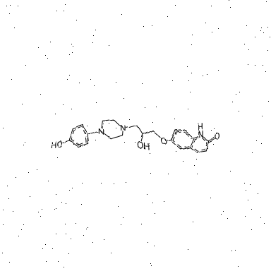 O=c1ccc2cc(OCC(O)CN3CCN(c4ccc(O)cc4)CC3)ccc2[nH]1